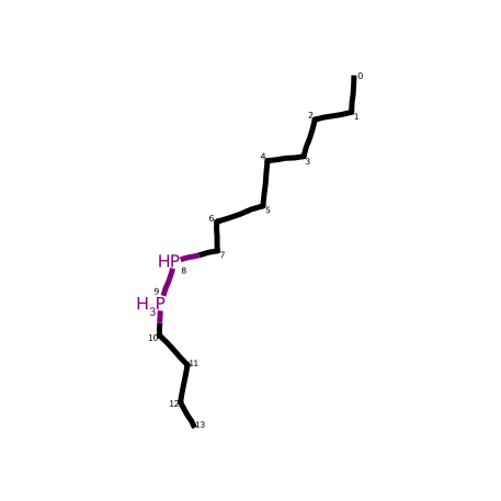 CCCCCCCCP[PH3]CCCC